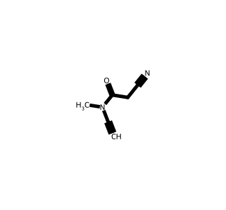 C#CN(C)C(=O)CC#N